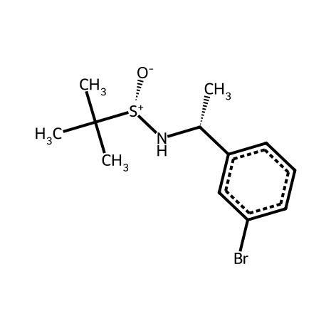 C[C@@H](N[S@@+]([O-])C(C)(C)C)c1cccc(Br)c1